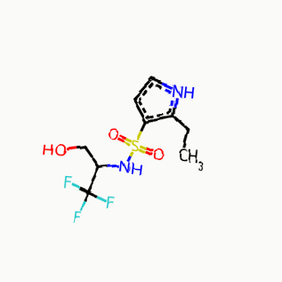 CCc1[nH]ccc1S(=O)(=O)NC(CO)C(F)(F)F